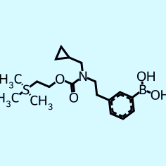 CS(C)(C)CCOC(=O)N(CCc1cccc(B(O)O)c1)CC1CC1